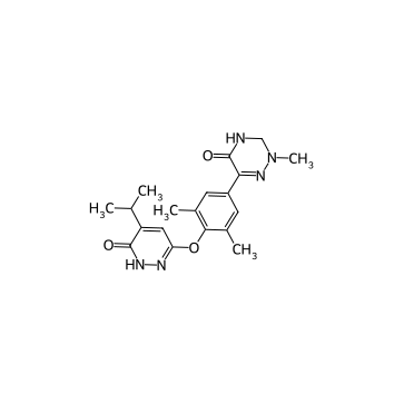 Cc1cc(C2=NN(C)CNC2=O)cc(C)c1Oc1cc(C(C)C)c(=O)[nH]n1